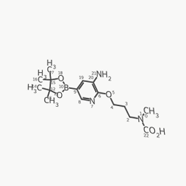 CN(CCCOc1ncc(B2OC(C)(C)C(C)(C)O2)cc1N)C(=O)O